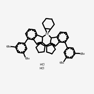 CC(C)(C)c1cc(-c2cccc3c2C=C(C2CCCC2)[CH]3[Hf]2([CH]3C(C4CCCC4)=Cc4c(-c5cc(C(C)(C)C)cc(C(C)(C)C)c5)cccc43)[CH]3CCCC[CH]32)cc(C(C)(C)C)c1.Cl.Cl